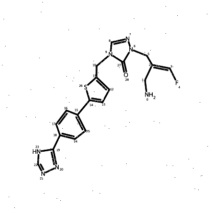 NC/C(=C\F)Cn1ncn(Cc2ccc(-c3ccc(-c4nnc[nH]4)cc3)s2)c1=O